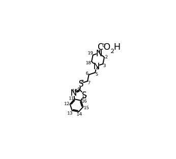 O=C(O)N1CCN(CCCSc2nc3ccccc3s2)CC1